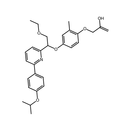 C=C(O)COc1ccc(OC(COCC)c2cccc(-c3ccc(OC(C)C)cc3)n2)cc1C